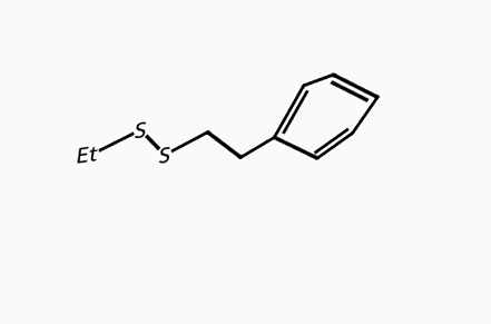 CCSSCCc1ccccc1